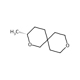 C[C@@H]1CCC2(CCOCC2)CO1